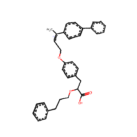 C/C(=C/COc1ccc(CC(OCCCc2ccccc2)C(=O)O)cc1)c1ccc(-c2ccccc2)cc1